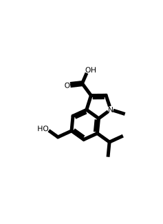 CC(C)c1cc(CO)cc2c(C(=O)O)cn(C)c12